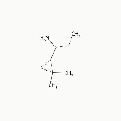 CCC(N)C1CC1(C)C